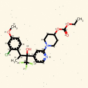 CCOC(=O)OC1CCN(c2cc(C(O)(C(C)c3ccc(OC)cc3Cl)C(F)(F)F)ccn2)CC1